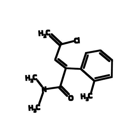 C=C(Cl)/C=C(/C(=O)N(C)C)c1ccccc1C